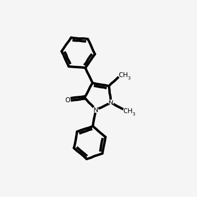 Cc1c(-c2ccccc2)c(=O)n(-c2ccccc2)n1C